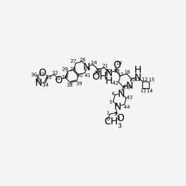 CCC(=O)N1CCN(C2=NC(NC3CCC3)CC(C(=O)NC[C@H](O)CN3CCc4cc(OCc5cnco5)ccc4C3)C2)CC1